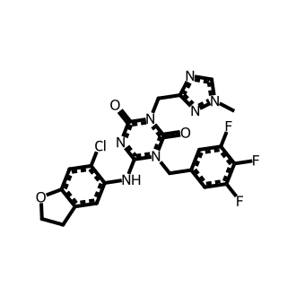 Cn1cnc(Cn2c(=O)nc(Nc3cc4c(cc3Cl)OCC4)n(Cc3cc(F)c(F)c(F)c3)c2=O)n1